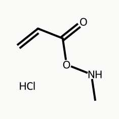 C=CC(=O)ONC.Cl